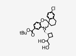 CC(C)(C)OC(=O)c1ccc2c(c1)N(C[C@@H]1CC[C@H]1C(O)CO)C[C@@]1(CCCc3cc(Cl)ccc31)CO2